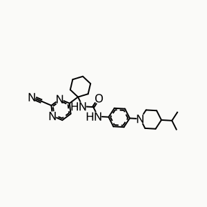 CC(C)C1CCN(c2ccc(NC(=O)NC3(c4ccnc(C#N)n4)CCCCC3)cc2)CC1